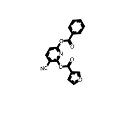 N#Cc1ccc(OC(=O)c2ccccc2)nc1OC(=O)c1[c]occ1